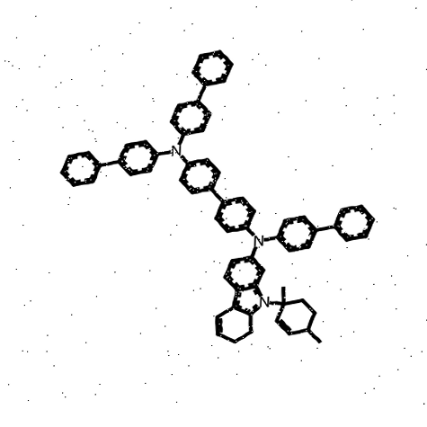 CC1C=CC(C)(n2c3c(c4ccc(N(c5ccc(-c6ccccc6)cc5)c5ccc(-c6ccc(N(c7ccc(-c8ccccc8)cc7)c7ccc(-c8ccccc8)cc7)cc6)cc5)cc42)C=CCC3)CC1